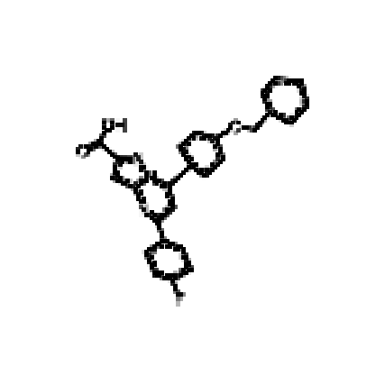 O=C(O)c1cc2nc(-c3ccc(F)cc3)cc(-c3ccc(OCc4ccccc4)cc3)n2n1